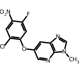 Cn1cnc2cc(Oc3cc(F)c([N+](=O)[O-])cc3Cl)cnc21